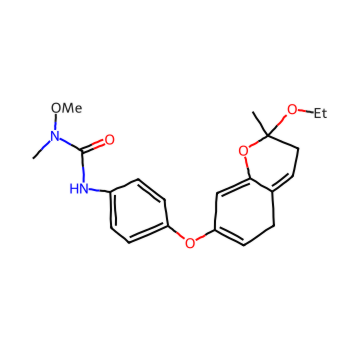 CCOC1(C)CC=C2CC=C(Oc3ccc(NC(=O)N(C)OC)cc3)C=C2O1